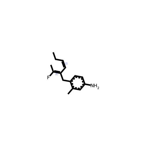 CC/C=C\C(Cc1ccc(N)cc1C)=C(/C)F